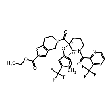 CCC[C@H]1N(C(=O)c2ncccc2C(F)(F)F)CCC[C@]1(Oc1csc(C(F)(F)F)c1)C(=O)N1CCc2sc(C(=O)OCC)cc2C1